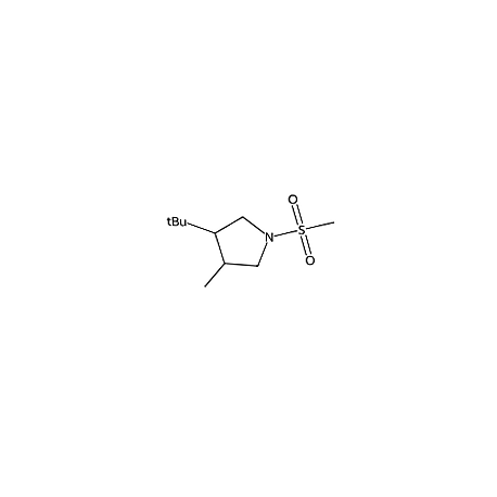 CC1CN(S(C)(=O)=O)CC1C(C)(C)C